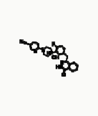 N#Cc1ccc(N2CC[PH](O)(c3cc(Cc4n[nH]c(=O)c5ccccc45)ccc3F)CC2)nc1